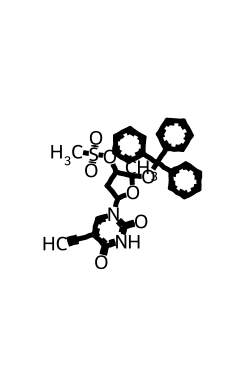 C#Cc1cn(C2CC(OS(C)(=O)=O)C(C)(OC(c3ccccc3)(c3ccccc3)c3ccccc3)O2)c(=O)[nH]c1=O